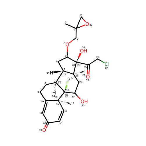 CC1(COC2C[C@H]3[C@@H]4CCC5=CC(=O)C=C[C@]5(C)[C@@]4(F)C(O)C[C@]3(C)[C@@]2(O)C(=O)CCl)CO1